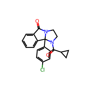 O=C1c2ccccc2C2(c3ccc(Cl)cc3)N1CCN2C(=O)C1CC1